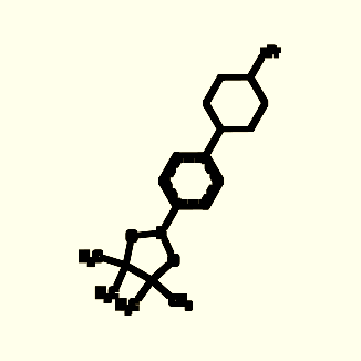 CCCC1CCC(c2ccc(B3OC(C)(C)C(C)(C)O3)cc2)CC1